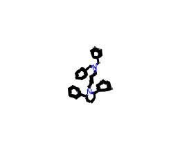 C(=CCN1C(c2ccccc2)CCCC1c1ccccc1)CN(Cc1ccccc1)Cc1ccccc1